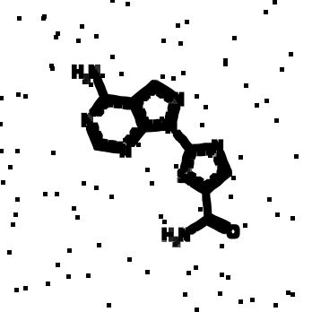 NC(=O)c1cnc(-n2ncc3c(N)ncnc32)s1